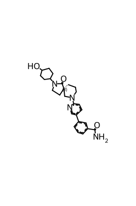 NC(=O)c1cccc(-c2ccc(N3CCC[C@@]4(CCN(C5CCC(O)CC5)C4=O)C3)nc2)c1